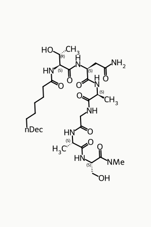 CCCCCCCCCCCCCCCC(=O)N[C@H](C(=O)N[C@@H](CC(N)=O)C(=O)N[C@@H](C)C(=O)NCC(=O)N[C@@H](C)C(=O)N[C@@H](CO)C(=O)NC)[C@@H](C)O